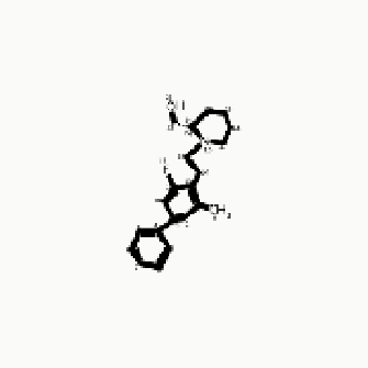 Cc1cc(-c2ccccc2)cc(F)c1CCN1CCCC[C@H]1CO